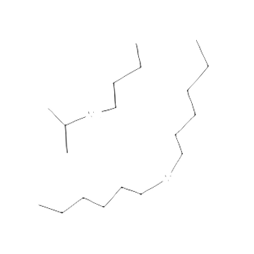 CCCCC[CH2][Mg][CH2]CCCCC.CCC[CH2][Mg][CH](C)C